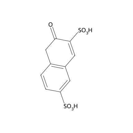 O=C1Cc2ccc(S(=O)(=O)O)cc2C=C1S(=O)(=O)O